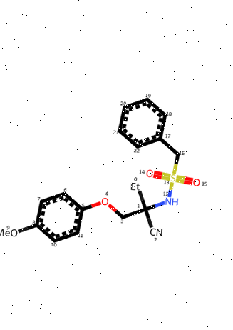 CCC(C#N)(COc1ccc(OC)cc1)NS(=O)(=O)Cc1ccccc1